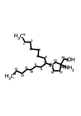 CCCCCCCC(CCCCCCC)N1CCC(N)(CO)C1